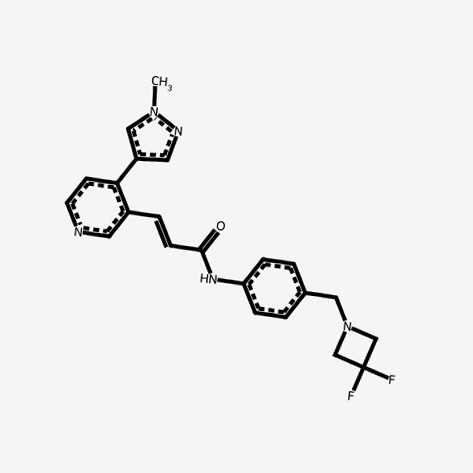 Cn1cc(-c2ccncc2C=CC(=O)Nc2ccc(CN3CC(F)(F)C3)cc2)cn1